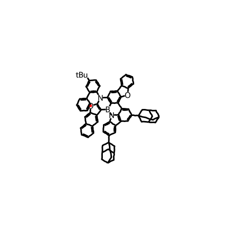 CC(C)(C)c1ccc(N2c3cc4c(oc5ccccc54)c4c3B(c3c2oc2cc5ccccc5cc32)n2c3ccc(C56CC7CC(CC(C7)C5)C6)cc3c3cc(C56CC7CC(CC(C7)C5)C6)cc-4c32)c(-c2ccccc2)c1